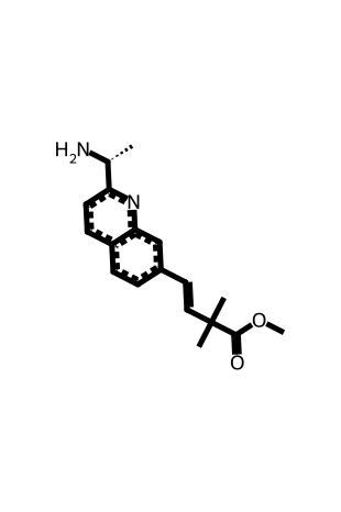 COC(=O)C(C)(C)/C=C/c1ccc2ccc([C@@H](C)N)nc2c1